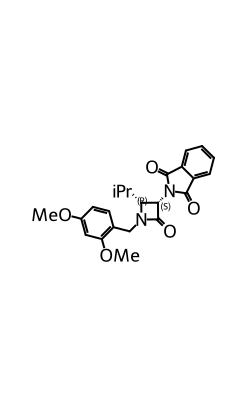 COc1ccc(CN2C(=O)[C@@H](N3C(=O)c4ccccc4C3=O)[C@H]2C(C)C)c(OC)c1